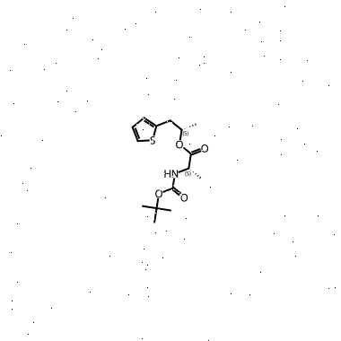 C[C@H](NC(=O)OC(C)(C)C)C(=O)O[C@@H](C)Cc1cccs1